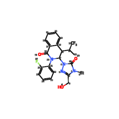 CCn1c(CO)nn(C2C(C(C)C(F)(F)F)c3ccccc3C(=O)N2c2ccccc2F)c1=O